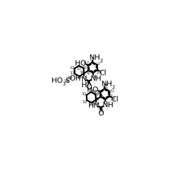 Nc1cc(Cl)c2c(c1O)C1(CCCCC1)NC(=O)N2.Nc1cc(Cl)c2c(c1O)C1(CCCCC1)NC(=O)N2.O=S(=O)(O)O